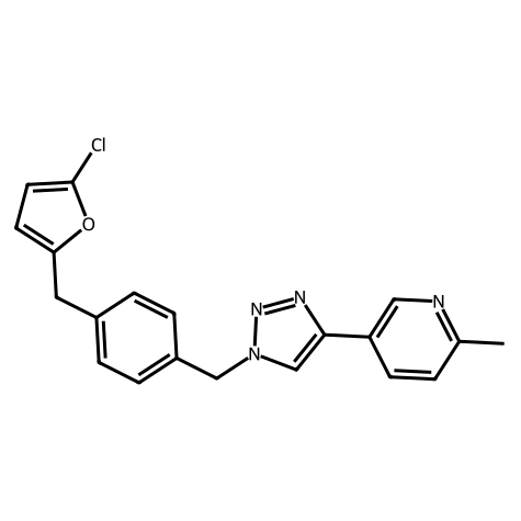 Cc1ccc(-c2cn(Cc3ccc(Cc4ccc(Cl)o4)cc3)nn2)cn1